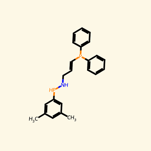 Cc1cc(C)cc(PNCC=CP(c2ccccc2)c2ccccc2)c1